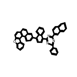 c1ccc(-c2nc(-c3ccc4ccccc4c3)nc(-c3ccc(-c4ccc5c(ccc6ccc7oc8ccccc8c7c65)c4)c4ccccc34)n2)cc1